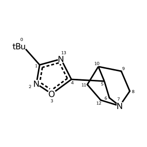 CC(C)(C)c1noc(C2CN3CCC2CC3)n1